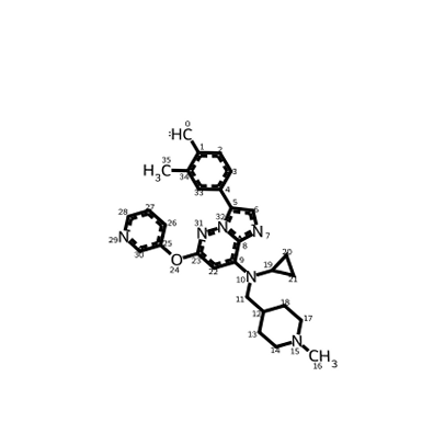 [CH]c1ccc(-c2cnc3c(N(CC4CCN(C)CC4)C4CC4)cc(Oc4cccnc4)nn23)cc1C